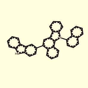 c1ccc2c(-n3c4ccccc4c4cc(-c5ccc6[nH]c7ccccc7c6c5)c5ccccc5c43)cccc2c1